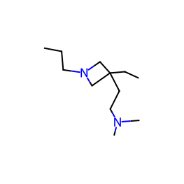 CCCN1CC(CC)(CCN(C)C)C1